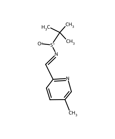 Cc1ccc(/C=N/[S+]([O-])C(C)(C)C)nc1